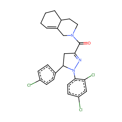 O=C(C1=NN(c2ccc(Cl)cc2Cl)C(c2ccc(Cl)cc2)C1)N1CCC2CCCC=C2C1